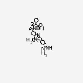 Cn1c(=O)c(Cc2ccc(C(=N)N)cc2)nc2cc(C3(NC(=O)C(C(=O)O)C4CCCC4)CC3)ccc21